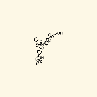 CC(C)(C)OC(=O)N[C@H](CF)C1CCC(C(=O)N2CC[C@@H](C3CCCCC3)[C@@H]2C(=O)Nc2ccc3oc(C(=O)OCCCO)cc3c2)CC1